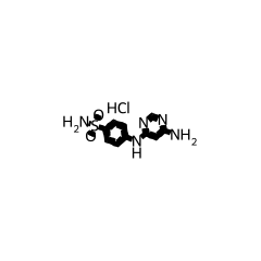 Cl.Nc1cc(Nc2ccc(S(N)(=O)=O)cc2)ncn1